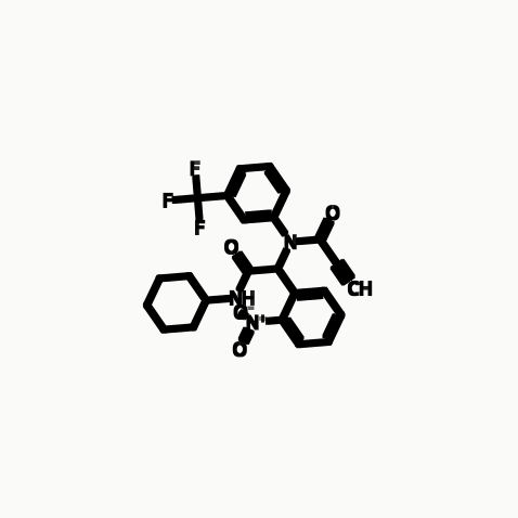 C#CC(=O)N(c1cccc(C(F)(F)F)c1)C(C(=O)NC1CCCCC1)c1ccccc1[N+](=O)[O-]